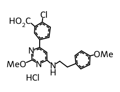 COc1ccc(CCNc2cc(-c3ccc(Cl)c(C(=O)O)c3)nc(OC)n2)cc1.Cl